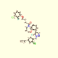 O=C(O)c1cc(F)c(Cn2cc(-c3cccc4c3OCCCN4C(=O)CCCOc3cccc(Cl)c3F)cn2)c(Cl)c1